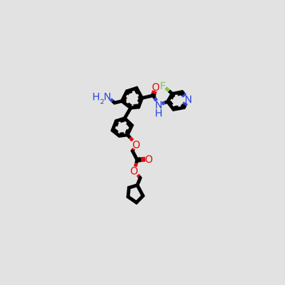 NCc1ccc(C(=O)Nc2ccncc2F)cc1-c1cccc(OCC(=O)OCC2CCCC2)c1